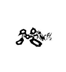 Cn1cnc([Si](c2ccccc2)(c2ccccc2)c2ccc3c(c2)c2ccccc2n3-c2ccccc2)n1